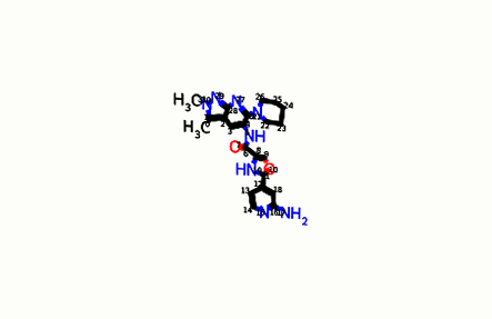 Cc1c2cc(NC(=O)C3=COC(c4ccnc(N)c4)N3)c(N3CCCCC3)nc2nn1C